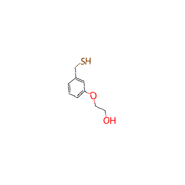 OCCOc1cccc(CS)c1